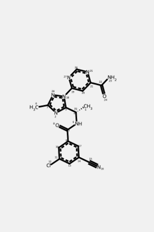 Cc1nc([C@H](C)NC(=O)c2cc(Cl)cc(C#N)c2)n(-c2cc(C(N)=O)ncn2)n1